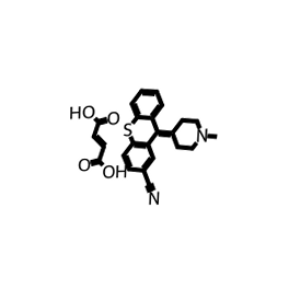 CN1CCC(=C2c3ccccc3Sc3ccc(C#N)cc32)CC1.O=C(O)C=CC(=O)O